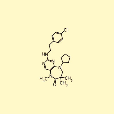 CN1C(=O)C(C)(C)CN(C2CCCC2)c2nc(NCCc3ccc(Cl)cc3)ncc21